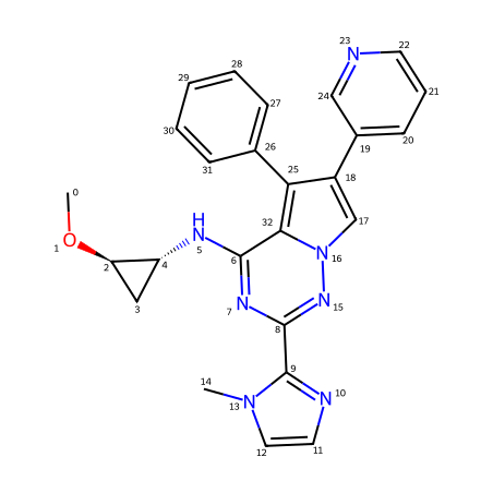 CO[C@@H]1C[C@H]1Nc1nc(-c2nccn2C)nn2cc(-c3cccnc3)c(-c3ccccc3)c12